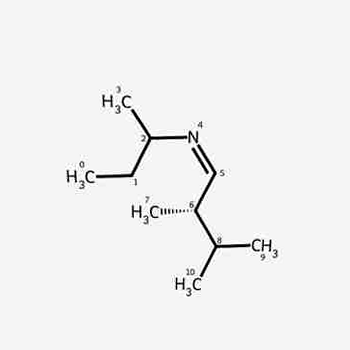 CCC(C)/N=C\[C@@H](C)C(C)C